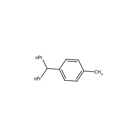 CCCC(CCC)c1ccc(C)cc1